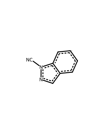 N#Cn1ncc2cc[c]cc21